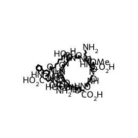 CCC(C)C1NC(=O)C(CCC(=O)O)NC(=O)C(C)NC(=O)CNC(=O)C(C(OC)C(=O)O)NC(=O)C(CCCCN)NC(=O)C(CC(=O)O)NC(=O)C(C)NC(=O)CN(C)C(=O)C(NC(=O)C(NC(=O)C(CCC(=O)O)NC(=O)C(Cc2c[nH]c3ccccc23)NC(=O)CCCCCCC(C)C)C(O)C(N)=O)C(C)OC1=O